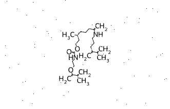 C=C(CCCC(C)CCOC(=O)NCCOC(=C)C(=C)C)NCCCC(=C)C(=C)C